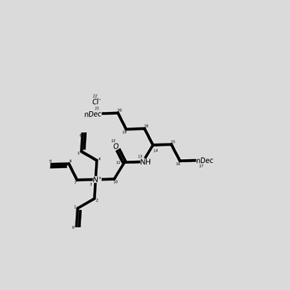 C=CC[N+](CC=C)(CC=C)CC(=O)NC(CCCCCCCCCCCC)CCCCCCCCCCCCC.[Cl-]